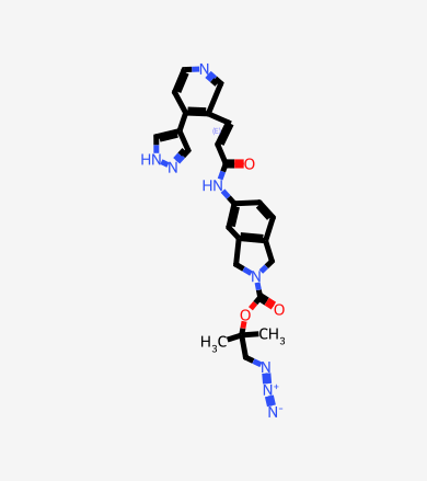 CC(C)(CN=[N+]=[N-])OC(=O)N1Cc2ccc(NC(=O)/C=C/c3cnccc3-c3cn[nH]c3)cc2C1